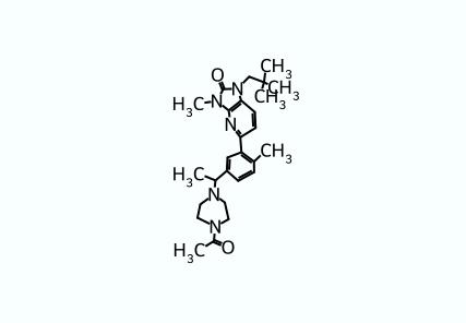 CC(=O)N1CCN(C(C)c2ccc(C)c(-c3ccc4c(n3)n(C)c(=O)n4CC(C)(C)C)c2)CC1